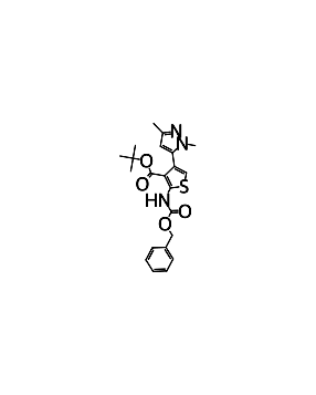 Cc1cc(-c2csc(NC(=O)OCc3ccccc3)c2C(=O)OC(C)(C)C)n(C)n1